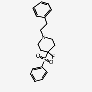 O=S(=O)(c1ccccc1)C1(F)CCN(CCc2ccccc2)CC1